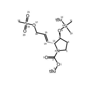 CC(C)(C)OC(=O)N1CC[C@H](O[Si](C)(C)C(C)(C)C)[C@H]1/C=C/COS(C)(=O)=O